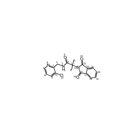 CC(C)(C(=O)NCc1ncccc1Cl)N1C(=O)c2ccccc2C1=O